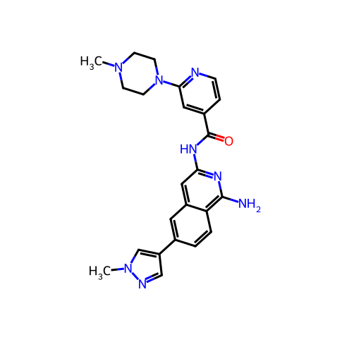 CN1CCN(c2cc(C(=O)Nc3cc4cc(-c5cnn(C)c5)ccc4c(N)n3)ccn2)CC1